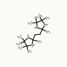 CC1(CCC2(C)NC(C)(C)C(C)(C)N2)NC(C)(C)C(C)(C)N1